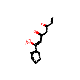 C=CC(=O)CC(=O)C=C(O)c1ccccc1